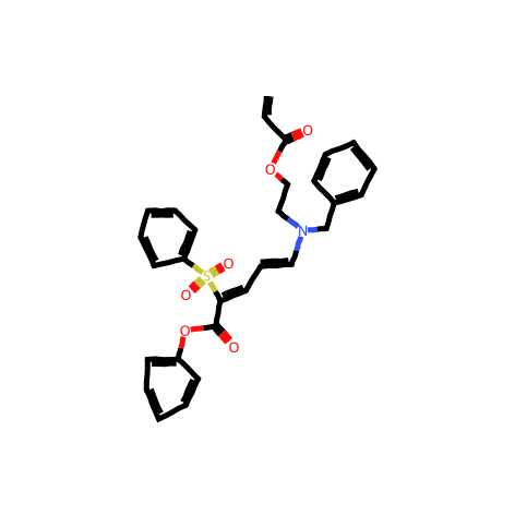 C=CC(=O)OCCN(/C=C/C=C(/C(=O)Oc1ccccc1)S(=O)(=O)c1ccccc1)Cc1ccccc1